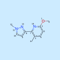 COc1ccc(C)c(-c2ccn(C)n2)n1